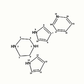 C1CNCCN1.c1cc[nH]c1.c1cc[nH]c1.c1ccncc1